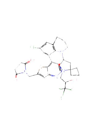 O=C1CCC(=O)N1Cc1cc2nccc(-c3cc(Cl)cc4c3N(C3CN(CC(O)C(F)(F)F)C5(CCC5)C3)CCC4)c2s1